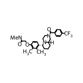 CNC(=O)COc1ccc([C@H]2CCC[C@H]3CN(C(=O)c4ccc(C(F)(F)F)cc4)CCN32)c(C)c1C